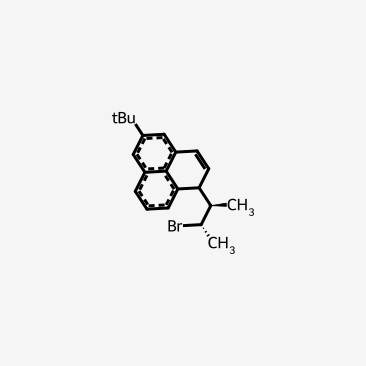 C[C@H](Br)[C@H](C)C1C=Cc2cc(C(C)(C)C)cc3cccc1c23